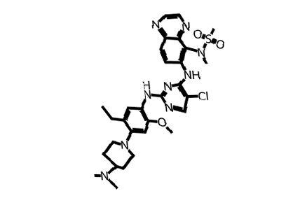 CCc1cc(Nc2ncc(Cl)c(Nc3ccc4nccnc4c3N(C)S(C)(=O)=O)n2)c(OC)cc1N1CCC(N(C)C)CC1